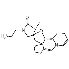 CN1C(=O)N(CCN)CC12CC13CCCCC1=CN1C=CCCC1=C3O2